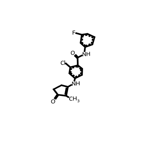 CC1=C(Nc2ccc(C(=O)Nc3cccc(F)c3)c(Cl)c2)CCC1=O